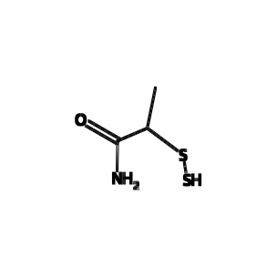 CC(SS)C(N)=O